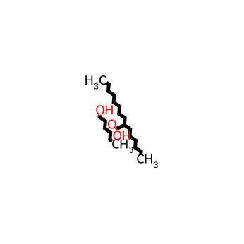 CCCCCCCCC(CCCCCC)C(=O)O.CCCCCCO